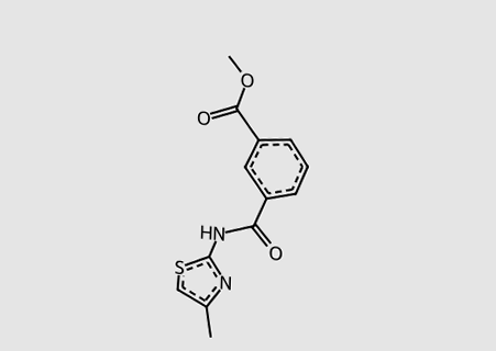 COC(=O)c1cccc(C(=O)Nc2nc(C)cs2)c1